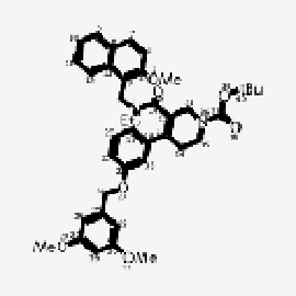 CCN(Cc1c(OC)ccc2ccccc12)C(=O)C1=C(c2cccc(OCc3cc(OC)cc(OC)c3)c2)CCN(C(=O)OC(C)(C)C)C1